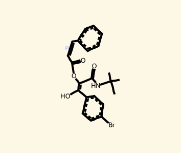 CC(C)(C)NC(=O)C(OC(=O)/C=C\c1ccccc1)=C(O)c1ccc(Br)cc1